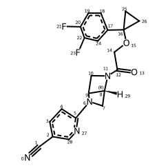 N#Cc1ccc(N2C[C@@H]3C2CN3C(=O)COC2(c3ccc(F)c(F)c3)CC2)nc1